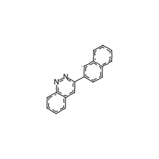 [c]1c(-c2cc3ccccc3nn2)ccc2ccccc12